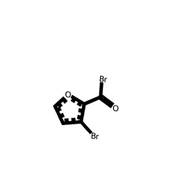 O=C(Br)c1occc1Br